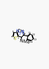 CNC(c1sccc1C)C(N)c1ccccc1